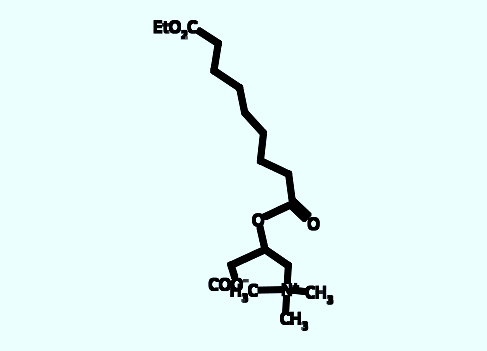 CCOC(=O)CCCCCCCC(=O)OC(CC(=O)[O-])C[N+](C)(C)C